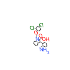 NCc1ccccc1-c1c(C(=O)O)n(CCOc2ccc(Cl)cc2Cl)c2ccccc12